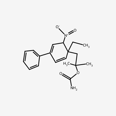 CCC1(CC(C)(C)OC(N)=O)C=CC(c2ccccc2)=CC1[N+](=O)[O-]